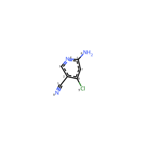 N#Cc1cnc(N)cc1Cl